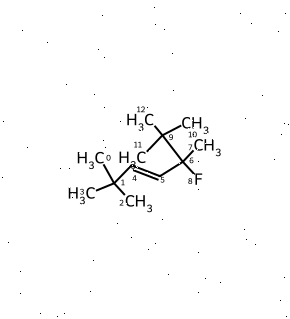 CC(C)(C)/C=C/C(C)(F)C(C)(C)C